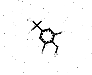 CC(F)(F)c1cc(F)c(CC#N)c(F)c1